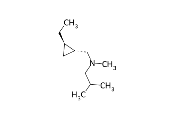 CC[C@@H]1C[C@H]1CN(C)CC(C)C